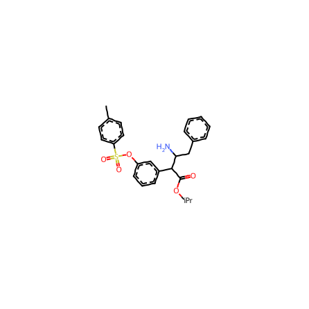 Cc1ccc(S(=O)(=O)Oc2cccc(C(C(=O)OC(C)C)C(N)Cc3ccccc3)c2)cc1